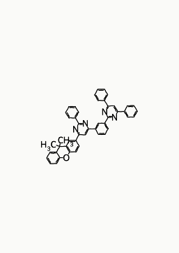 CC1(C)c2ccccc2Oc2ccc(-c3cc(-c4cccc(-c5nc(-c6ccccc6)cc(-c6ccccc6)n5)c4)nc(-c4ccccc4)n3)cc21